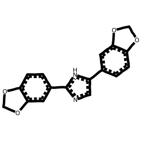 c1cc2c(cc1-c1cnc(-c3ccc4c(c3)OCO4)[nH]1)OCO2